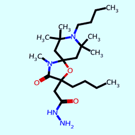 CCCCN1C(C)(C)CC2(CC1(C)C)OC(CCCC)(CC(=O)NN)C(=O)N2C